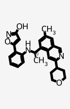 Cc1cc([C@@H](C)Nc2ccccc2-c2cc(O)no2)c2cc(C3CCOCC3)ncc2c1